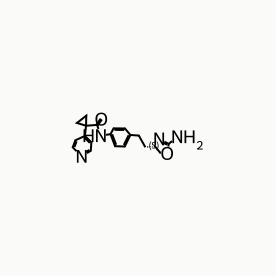 NC1=N[C@@H](CCc2ccc(NC(=O)C3(c4ccncc4)CC3)cc2)CO1